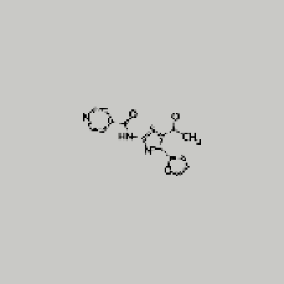 CC(=O)c1sc(NC(=O)c2ccncc2)nc1-c1ccco1